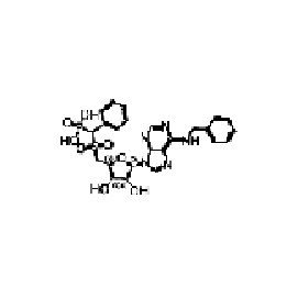 O=P(O)(O)C(c1ccccc1)S(=O)(=O)C[C@H]1O[C@@H](n2cnc3c(NCc4ccccc4)ncnc32)[C@H](O)[C@@H]1O